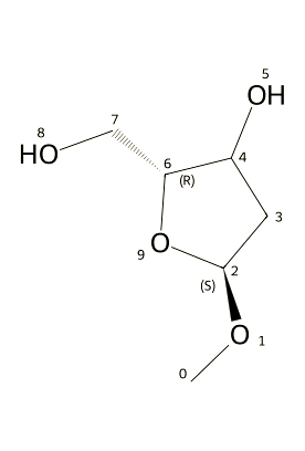 CO[C@@H]1CC(O)[C@@H](CO)O1